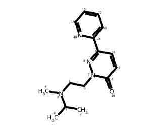 CC(C)N(C)CCn1nc(-c2ccccn2)ccc1=O